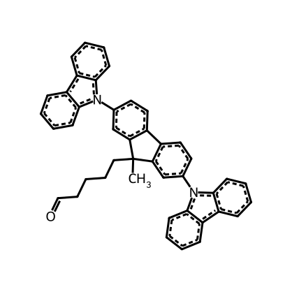 CC1(CCCCC=O)c2cc(-n3c4ccccc4c4ccccc43)ccc2-c2ccc(-n3c4ccccc4c4ccccc43)cc21